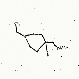 CNCC1(F)CCN(CC(F)(F)F)CC1